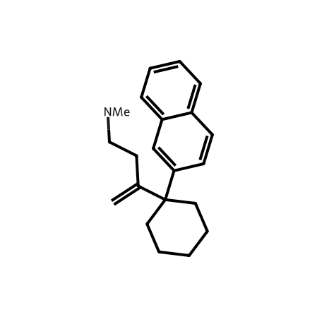 C=C(CCNC)C1(c2ccc3ccccc3c2)CCCCC1